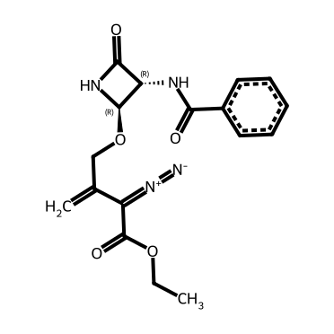 C=C(CO[C@H]1NC(=O)[C@@H]1NC(=O)c1ccccc1)C(=[N+]=[N-])C(=O)OCC